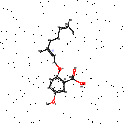 COc1ccc(OC/C=C(\C)CCC=C(C)C)c(C(=O)O)c1